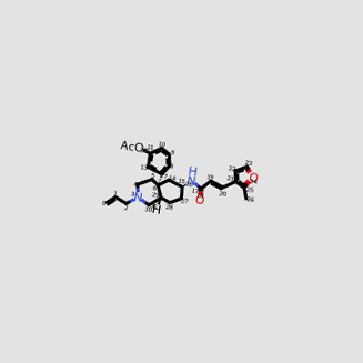 C=CCN1CC[C@@]2(c3cccc(OC(C)=O)c3)C[C@H](NC(=O)/C=C/c3ccoc3C)CC[C@@H]2C1